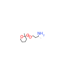 C[C@@H](N)CCOOC1(C)CCCCO1